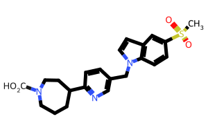 CS(=O)(=O)c1ccc2c(ccn2Cc2ccc(C3CCCN(C(=O)O)CC3)nc2)c1